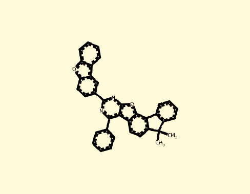 CC1(C)c2ccccc2-c2c1ccc1c2oc2nc(-c3ccc4oc5ccccc5c4c3)nc(-c3ccccc3)c21